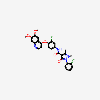 COc1cc2nccc(Oc3ccc(NC(=O)c4c(C)n(C)n(-c5ccccc5Cl)c4=O)cc3F)c2cc1OC